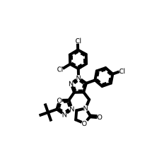 CC(C)(C)c1nnc(-c2nn(-c3ccc(Cl)cc3Cl)c(-c3ccc(Cl)cc3)c2CN2CCOC2=O)o1